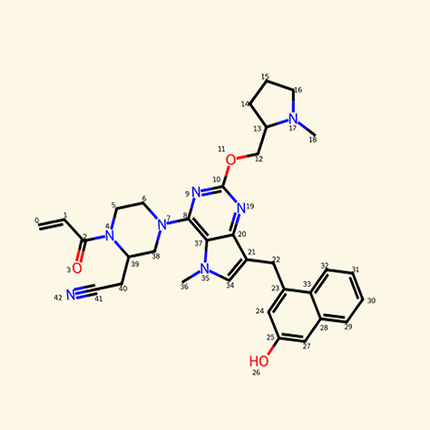 C=CC(=O)N1CCN(c2nc(OCC3CCCN3C)nc3c(Cc4cc(O)cc5ccccc45)cn(C)c23)CC1CC#N